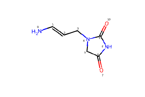 N/C=C/CN1CC(=O)NC1=O